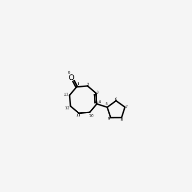 O=C1CC=C(C2CCCC2)CCCC1